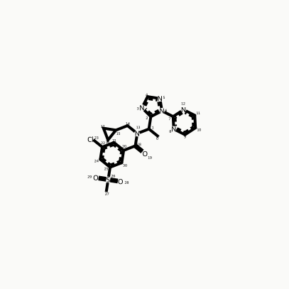 CC(c1ncnn1-c1ncccn1)N(CC1CC1)C(=O)c1cc(Cl)cc(S(C)(=O)=O)c1